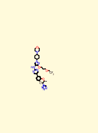 C[C@@H](Cn1cnnn1)Oc1cc(-c2cnc(Nc3cn(C4CCC(N5CCOCC5)CC4)nc3OCCCOCC(F)(F)F)nc2)ccc1C#N